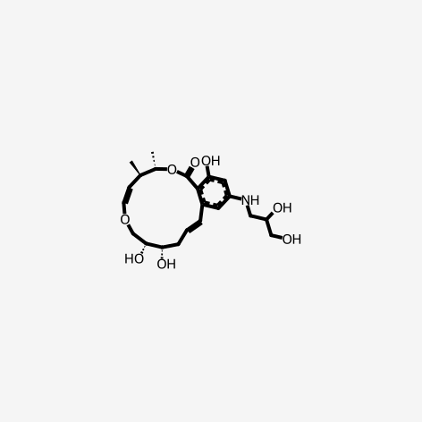 C[C@@H]1/C=C\OC[C@@H](O)[C@@H](O)C/C=C/c2cc(NCC(O)CO)cc(O)c2C(=O)O[C@H]1C